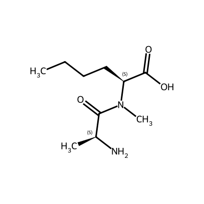 CCCC[C@@H](C(=O)O)N(C)C(=O)[C@H](C)N